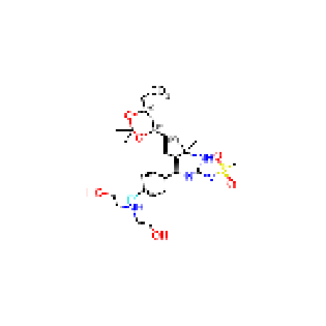 CC(C)C1(C)NC(N(C)S(C)(=O)=O)=NC(c2ccc(F)cc2)=C1C=C[C@@H]1C[C@H](CC(=O)O)OC(C)(C)O1.OCCNCCO